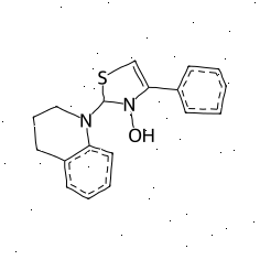 ON1C(c2ccccc2)=CSC1N1CCCc2ccccc21